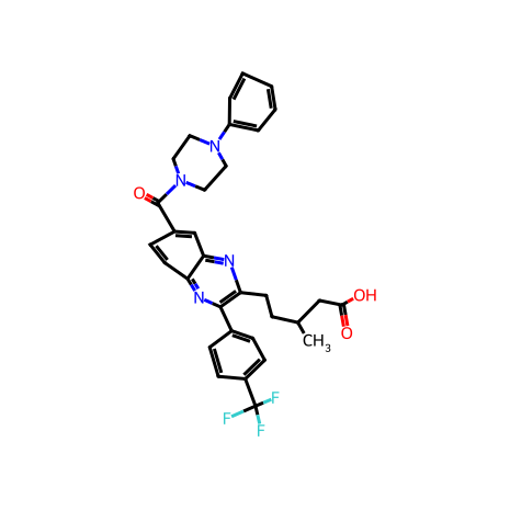 CC(CCc1nc2cc(C(=O)N3CCN(c4ccccc4)CC3)ccc2nc1-c1ccc(C(F)(F)F)cc1)CC(=O)O